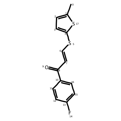 Cc1ccc(S/C=C/C(=O)c2ccc(F)cc2)s1